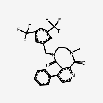 CN1CCN(Cc2cc(C(F)(F)F)cc(C(F)(F)F)c2)C(=O)c2c(-c3ccccc3)ccnc2C1=O